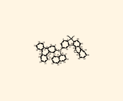 CC1(C)c2ccc(N(c3ccc4c5ccccc5c5ccccc5c4c3)c3cccc4ccccc34)cc2-c2c1ccc1c2oc2ccccc21